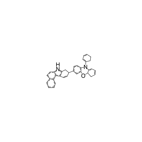 C1=CCCC(N2C3=CC=CCC3Oc3cc(C4C=Cc5c([nH]c6ccc7ccccc7c56)C4)ccc32)=C1